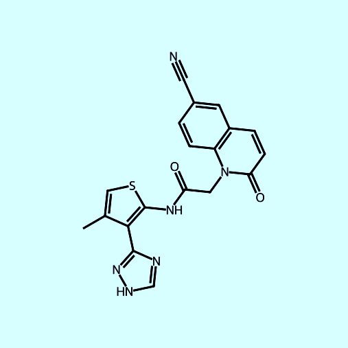 Cc1csc(NC(=O)Cn2c(=O)ccc3cc(C#N)ccc32)c1-c1nc[nH]n1